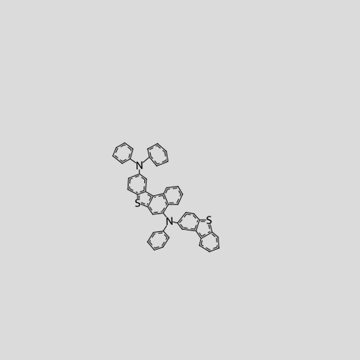 c1ccc(N(c2ccccc2)c2ccc3sc4cc(N(c5ccccc5)c5ccc6sc7ccccc7c6c5)c5ccccc5c4c3c2)cc1